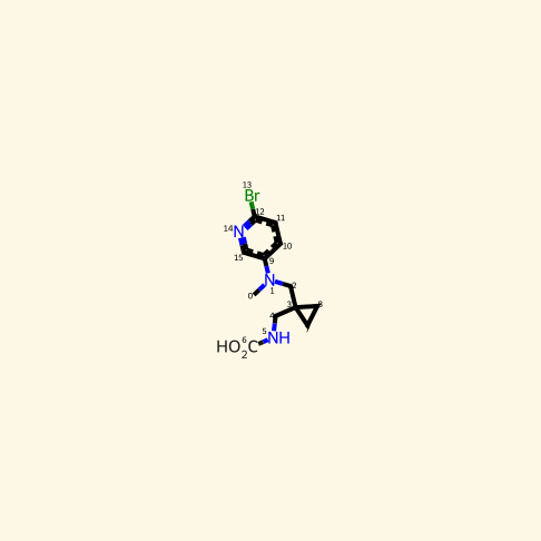 CN(CC1(CNC(=O)O)CC1)c1ccc(Br)nc1